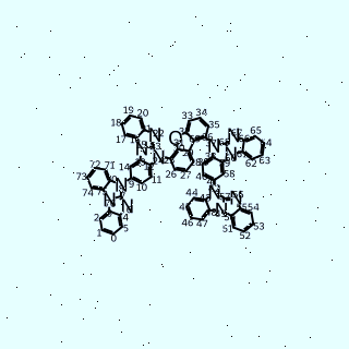 c1ccc2c(c1)nc1n(-c3ccc4c(c3)n3c5ccccc5nc3n4-c3cccc4c3oc3cccc(-n5c6ccc(-n7c8ccccc8n8c9ccccc9nc78)cc6n6c7ccccc7nc56)c34)c3ccccc3n21